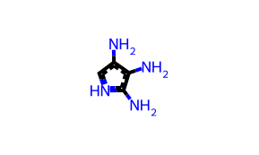 Nc1c[nH]c(N)c1N